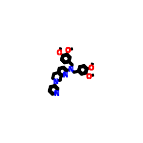 COc1ccc(CN(Cc2ccc(OC)c(OC)c2)c2ccc3c(n2)CN(c2cccnc2)CC3)cc1OC